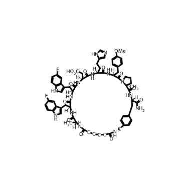 COc1ccc(C[C@@H]2NC(=O)[C@H](CCc3cnc[nH]3)NC(=O)[C@H](CC(=O)O)NC(=O)[C@H](Cc3c[nH]c4ccc(F)cc34)NC(=O)[C@H](Cc3c[nH]c4ccc(F)cc34)NC(=O)[C@@H](C)NC(=O)CCCCC(=O)NCc3ccc(cc3)C[C@@H](C(N)=O)NC(=O)[C@]3(C)CCCN3C2=O)cc1